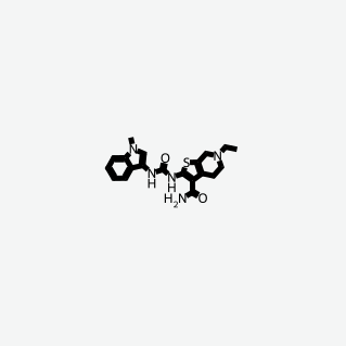 CCN1CCc2c(sc(NC(=O)Nc3cn(C)c4ccccc34)c2C(N)=O)C1